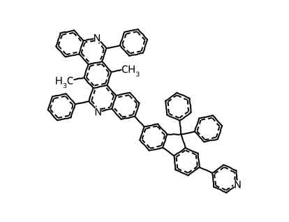 Cc1c2c(-c3ccccc3)nc3cc(-c4ccc5c(c4)C(c4ccccc4)(c4ccccc4)c4cc(-c6ccncc6)ccc4-5)ccc3c2c(C)c2c(-c3ccccc3)nc3ccccc3c12